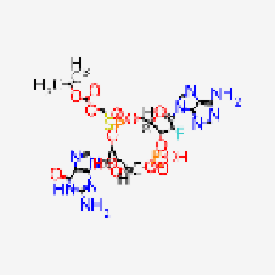 CC(C)OC(=O)OCSP1(=O)OC[C@H]2O[C@@H](n3cnc4c(N)ncnc43)C(F)C2OP(=O)(O)OC[C@H]2O[C@@H](n3cnc4c(=O)[nH]c(N)nc43)C(O1)C2O